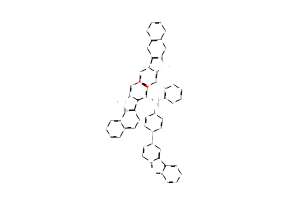 c1ccc(N(c2ccc(-c3ccc4oc5ccccc5c4c3)cc2)c2cccc3oc4c5ccccc5ccc4c23)c(-c2cccc3c2oc2cc4ccccc4cc23)c1